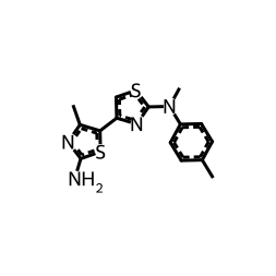 Cc1ccc(N(C)c2nc(-c3sc(N)nc3C)cs2)cc1